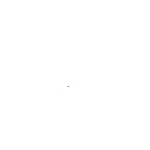 CC12Cc3cnn(-c4ccc(F)cc4)c3C=C1CCC1C2[C@@H](O)CC2(C)C1CC[C@]2(O)C(=O)Nc1nc2ccccc2[nH]1